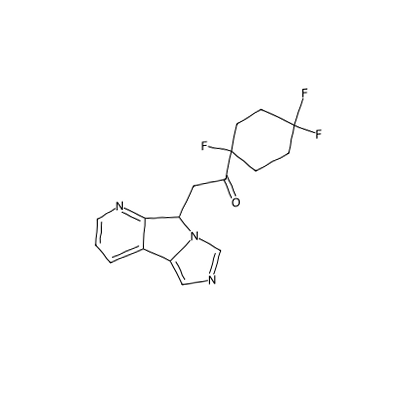 O=C(CC1c2ncccc2-c2cncn21)C1(F)CCC(F)(F)CC1